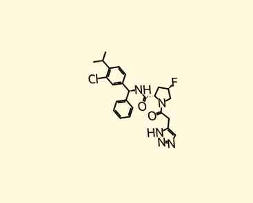 CC(C)c1ccc([C@@H](NC(=O)[C@@H]2C[C@@H](F)CN2C(=O)Cc2cnn[nH]2)c2ccccc2)cc1Cl